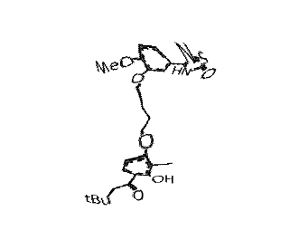 COc1ccc(-c2nsc(=O)[nH]2)cc1OCCCCOc1ccc(C(=O)CC(C)(C)C)c(O)c1C